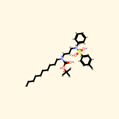 CCCCCCCCCCN(CCCN(c1ccccc1)S(=O)(=O)c1ccc(C)cc1)C(=O)OC(C)(C)C